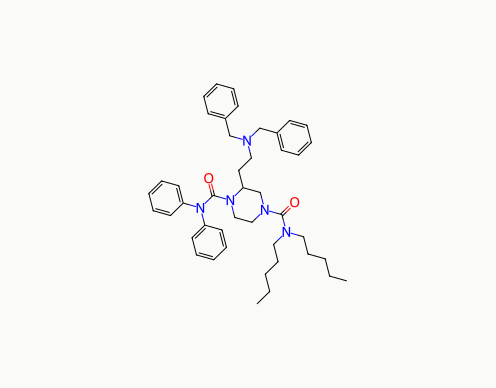 CCCCCN(CCCCC)C(=O)N1CCN(C(=O)N(c2ccccc2)c2ccccc2)C(CCN(Cc2ccccc2)Cc2ccccc2)C1